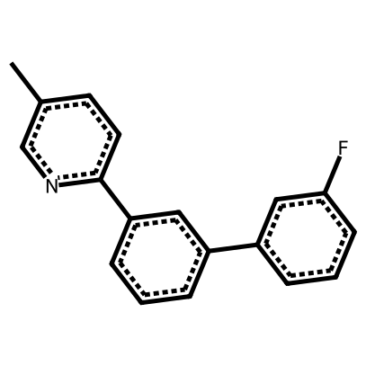 Cc1ccc(-c2cccc(-c3cccc(F)c3)c2)nc1